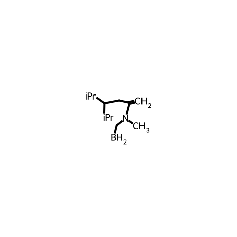 BCN(C)C(=C)CC(C(C)C)C(C)C